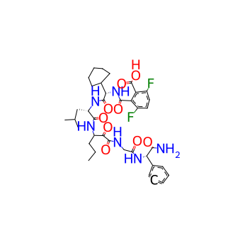 CCCC(NC(=O)[C@H](CC(C)C)NC(=O)[C@@H](NC(=O)c1c(F)ccc(F)c1C(=O)O)C1CCCCC1)C(=O)C(=O)NCC(=O)N[C@H](C(N)=O)c1ccccc1